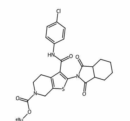 CC(C)(C)OC(=O)N1CCc2c(sc(N3C(=O)C4CCCCC4C3=O)c2C(=O)Nc2ccc(Cl)cc2)C1